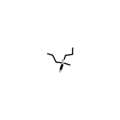 CCC[SH](C)(=O)CCC